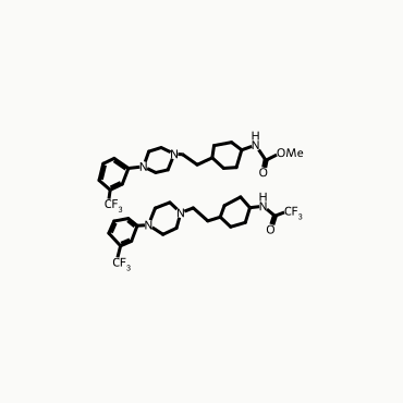 COC(=O)NC1CCC(CCN2CCN(c3cccc(C(F)(F)F)c3)CC2)CC1.O=C(NC1CCC(CCN2CCN(c3cccc(C(F)(F)F)c3)CC2)CC1)C(F)(F)F